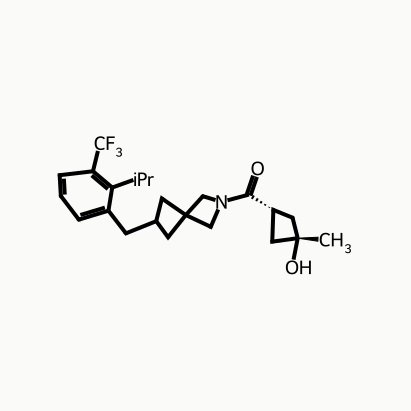 CC(C)c1c(CC2CC3(C2)CN(C(=O)[C@H]2C[C@@](C)(O)C2)C3)cccc1C(F)(F)F